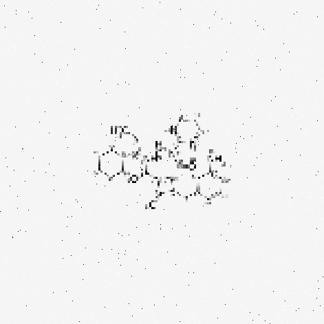 CC[C@@H](NC(=O)N1C(=O)C(Cc2ccnc(N)c2)[C@H]1C(=O)N(C)c1ncccn1)C1CCCCC1